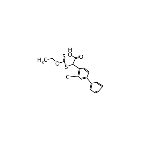 CCOC(=S)SC(C(=O)O)c1ccc(-c2ccccc2)cc1Cl